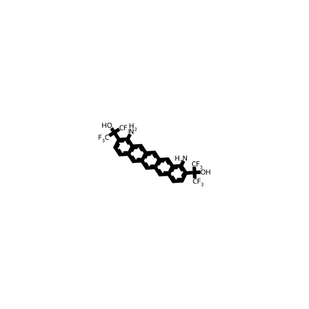 Nc1c(C(O)(C(F)(F)F)C(F)(F)F)ccc2cc3cc4cc5ccc(C(O)(C(F)(F)F)C(F)(F)F)c(N)c5cc4cc3cc12